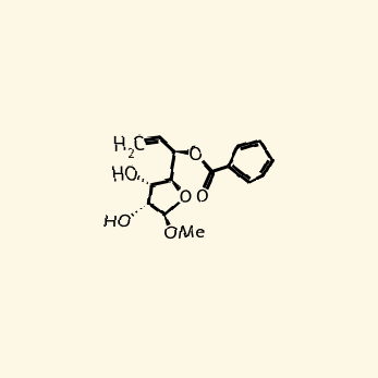 C=C[C@@H](OC(=O)c1ccccc1)[C@H]1O[C@@H](OC)[C@H](O)[C@@H]1O